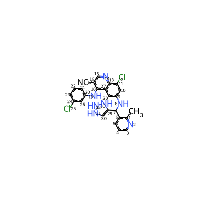 Cc1ncccc1[C@H](Nc1cc(Cl)c2ncc(C#N)c(Nc3cccc(Cl)c3)c2c1)C1=CNNN1